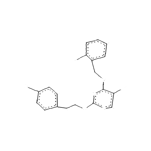 Fc1ccccc1CNc1nc(OCCc2ccc(Cl)cc2)ncc1F